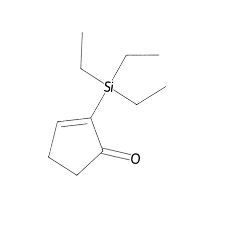 CC[Si](CC)(CC)C1=CCCC1=O